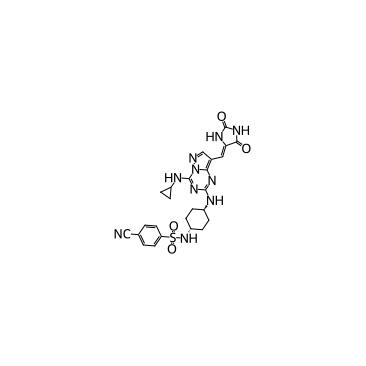 N#Cc1ccc(S(=O)(=O)N[C@H]2CC[C@H](Nc3nc(NC4CC4)n4ncc(/C=C5\NC(=O)NC5=O)c4n3)CC2)cc1